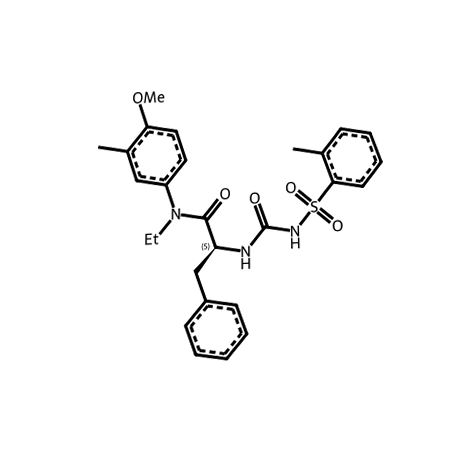 CCN(C(=O)[C@H](Cc1ccccc1)NC(=O)NS(=O)(=O)c1ccccc1C)c1ccc(OC)c(C)c1